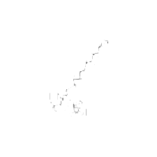 CC(C)[C@@H](COS(=O)(=O)O)NCCCCCCCCCCCC=O